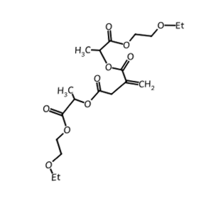 C=C(CC(=O)OC(C)C(=O)OCCOCC)C(=O)OC(C)C(=O)OCCOCC